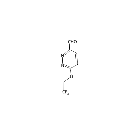 O=Cc1ccc(OCC(F)(F)F)nn1